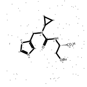 CC(C)COC[C@H](NC(=O)N(Cc1cncs1)C1CC1)C(=O)O